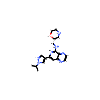 CC(C)n1cc(-c2cc3nccnc3c(NC[C@H]3CNCCO3)n2)cn1